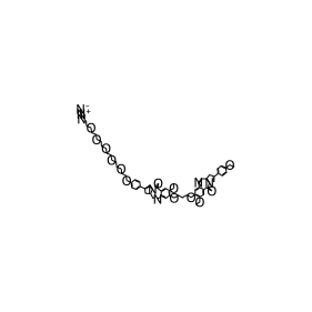 COc1ccc(C2=CN3C(=O)c4cc(OC)c(OCCCOc5cc6c(cc5OC)C(=O)N5C=C(c7ccc(OCCOCCOCCOCCOCCOCCN=[N+]=[N-])cc7)CC5C=N6)cc4N=CC3C2)cc1